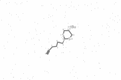 C#CCCCC[C@H]1SC[C@H](C(C)(C)C)CS1